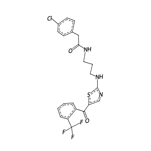 O=C(Cc1ccc(Cl)cc1)NCCCNc1ncc(C(=O)c2ccccc2C(F)(F)F)s1